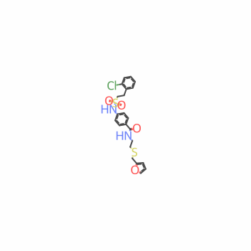 O=C(NCCSCc1ccco1)c1ccc(NS(=O)(=O)CCc2ccccc2Cl)cc1